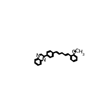 COc1ccccc1C=CCC=Cc1ccc(-c2cnc3ccccc3n2)cc1